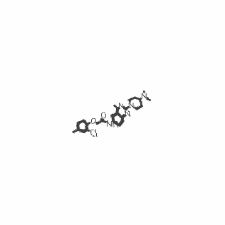 Cc1ccc(OCC(=O)Nc2ccc3nc(N4CCC(N(C)C)CC4)nc(C)c3c2)c(Cl)c1